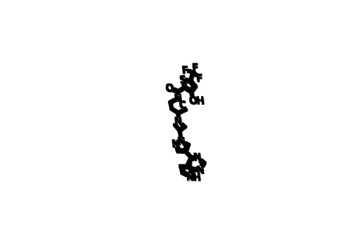 O=C(c1sc(C(F)(F)F)cc1O)N1CCC(N2CC(n3cc(-c4ncnc5[nH]ccc45)cn3)C2)CC1